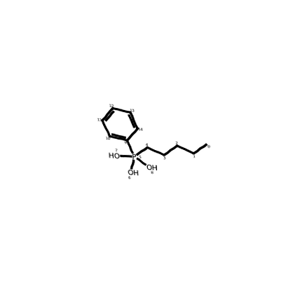 CCCCCP(O)(O)(O)c1ccccc1